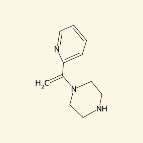 C=C(c1ccccn1)N1CCNCC1